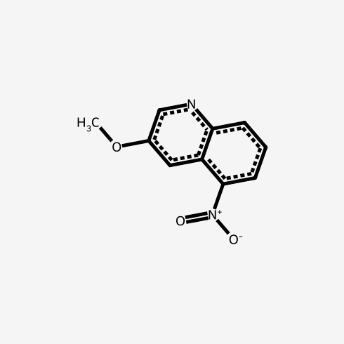 COc1cnc2cccc([N+](=O)[O-])c2c1